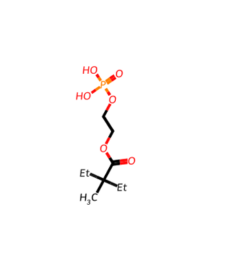 CCC(C)(CC)C(=O)OCCOP(=O)(O)O